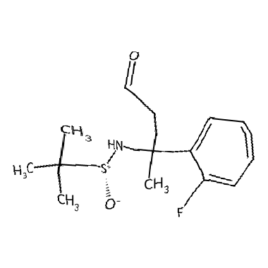 CC(CC=O)(N[S@+]([O-])C(C)(C)C)c1ccccc1F